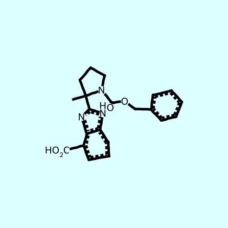 CC1(c2nc3c(C(=O)O)cccc3[nH]2)CCCN1C(=O)OCc1ccccc1